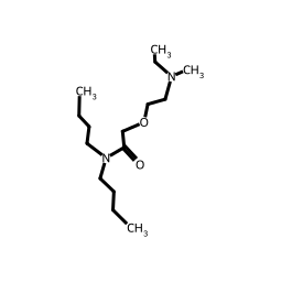 CCCCN(CCCC)C(=O)COCCN(C)CC